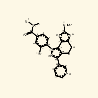 CCN(C)C(=O)c1ccc(-n2nc(-c3cccnc3)c3c2-c2sc(NC(C)=O)nc2CC3)c(Br)c1